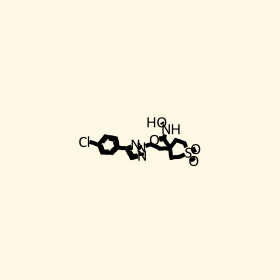 O=C(NO)C1(CCn2ncc(-c3ccc(Cl)cc3)n2)CCS(=O)(=O)CC1